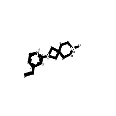 C=Cc1ccnc(N2CC3(CCN(C)CC3)C2)c1